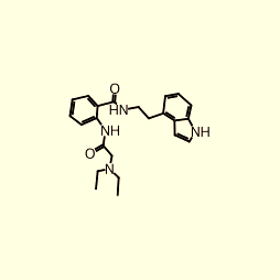 CCN(CC)CC(=O)Nc1ccccc1C(=O)NCCc1cccc2[nH]ccc12